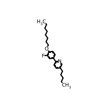 CCCCCCCCOc1ccc(-c2ccc(CCCCC)cn2)cc1F